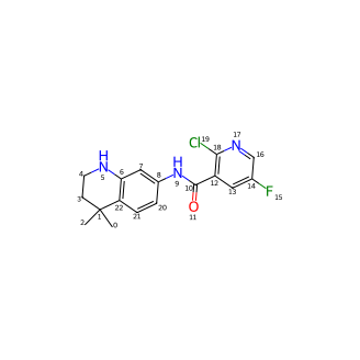 CC1(C)CCNc2cc(NC(=O)c3cc(F)cnc3Cl)ccc21